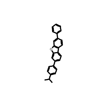 CC(C)c1ccc(-c2ccc3c(c2)oc2cc(-c4ccccc4)ccc23)cc1